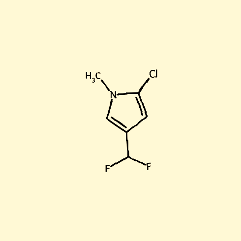 Cn1cc(C(F)F)cc1Cl